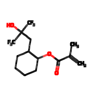 C=C(C)C(=O)OC1CCCCC1CC(O)(C(F)(F)F)C(F)(F)F